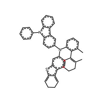 CC1=C(c2c(C)cccc2N(c2ccc3c4c(sc3c2)=CCCC=4)c2ccc3c(c2)c2ccccc2n3-c2ccccc2)C=CCC1